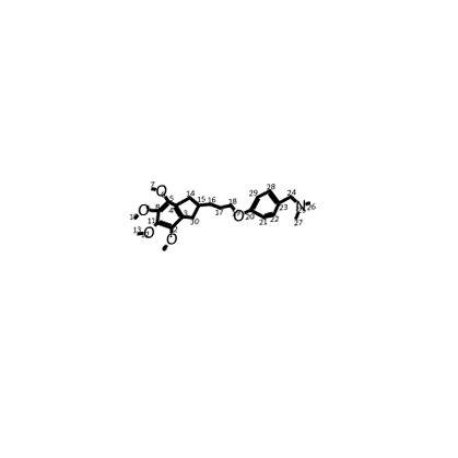 COc1c2c(c(OC)c(OC)c1OC)CC(CCCOc1ccc(CN(C)C)cc1)C2